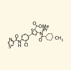 COC(=O)c1sc(-c2ccc(NC(=O)c3cscn3)c(Cl)c2)cc1N(C(=O)[C@H]1CC[C@H](C)CC1)C(C)C